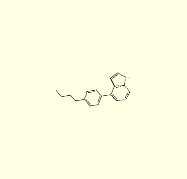 CCCCc1ccc(-c2cccc3c2C=C[CH]3)cc1